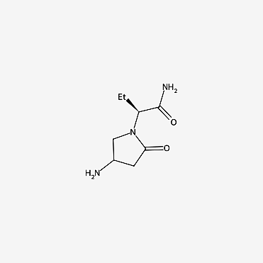 CC[C@@H](C(N)=O)N1CC(N)CC1=O